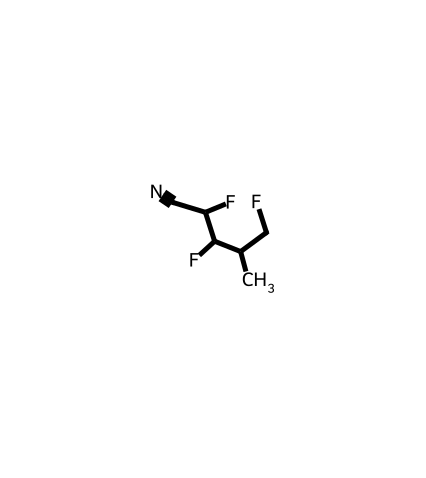 CC(CF)C(F)C(F)C#N